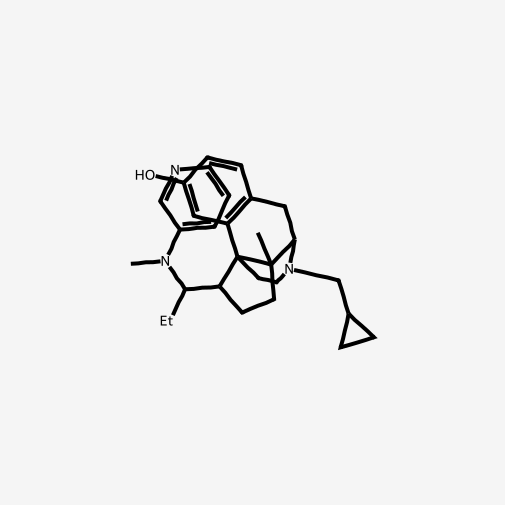 CCC(C1CCC2(C)C3Cc4ccc(O)cc4C12CCN3CC1CC1)N(C)c1cccnc1